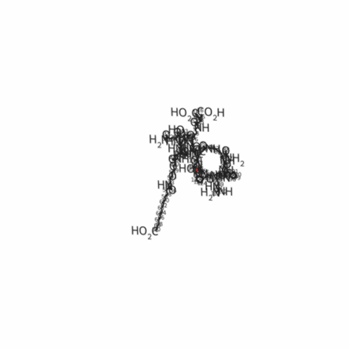 CCCC[C@H](NC(=O)[C@H](CCCCNC(=O)CN(CC(=O)O)CC(=O)O)NC(=O)[C@H](CO)NC(=O)[C@H](CCC(N)=O)NC(=O)[C@H](CO)NC(=O)CNC(=O)COCCOCCNC(=O)CCCCCCCCCCCCCCC(=O)O)C(=O)N[C@H]1CCC(=O)NCCCC[C@@H](C(N)=O)NC(=O)[C@H](Cc2c[nH]c3ccccc23)NC(=O)[C@H](CCCNC(=N)N)NC(=O)[C@@H](Cc2ccccc2)NC(=O)[C@@H]2C[C@@H](O)CN2C1=O